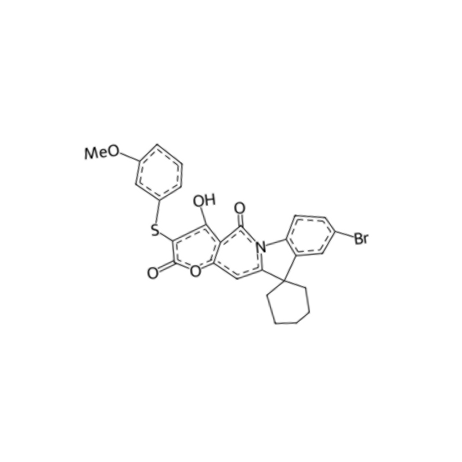 COc1cccc(Sc2c(O)c3c(=O)n4c(cc3oc2=O)C2(CCCCC2)c2cc(Br)ccc2-4)c1